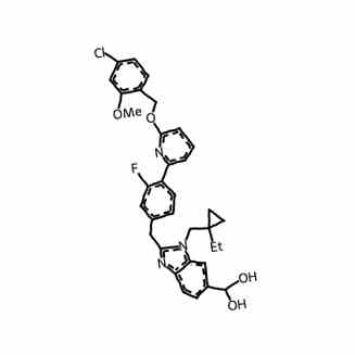 CCC1(Cn2c(Cc3ccc(-c4cccc(OCc5ccc(Cl)cc5OC)n4)c(F)c3)nc3ccc(C(O)O)cc32)CC1